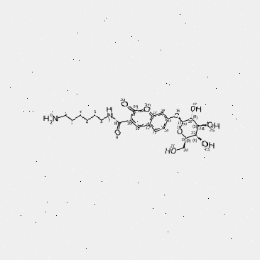 NCCCCCCNC(=O)c1cc2ccc(O[C@@H]3O[C@H](CO)[C@H](O)[C@H](O)[C@H]3O)cc2oc1=O